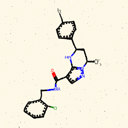 CCc1ccc(C2CC(C(F)(F)F)n3ncc(C(=O)NCc4ccccc4Cl)c3N2)cc1